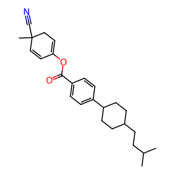 CC(C)CCC1CCC(c2ccc(C(=O)OC3=CCC(C)(C#N)C=C3)cc2)CC1